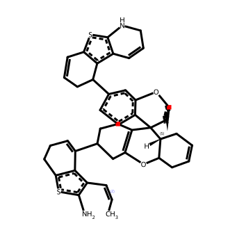 C/C=C\c1c(N)sc2c1C(C1CCC3=C(C1)OC1CC=CC[C@H]1C31c3ccccc3Oc3cc(C4CC=Cc5sc6c(c54)C=CCN6)ccc31)=CCC2